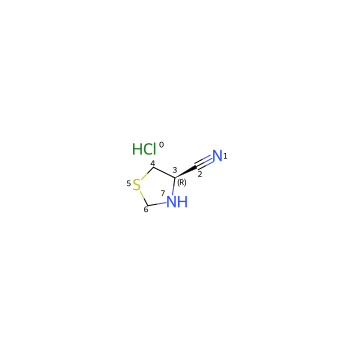 Cl.N#C[C@@H]1CSCN1